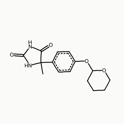 CC1(c2ccc(OC3CCCCO3)cc2)NC(=O)NC1=O